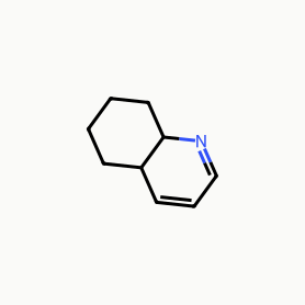 C1=CC2CCCCC2N=C1